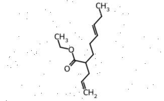 C=CCC(CCC=CCC)C(=O)OCC